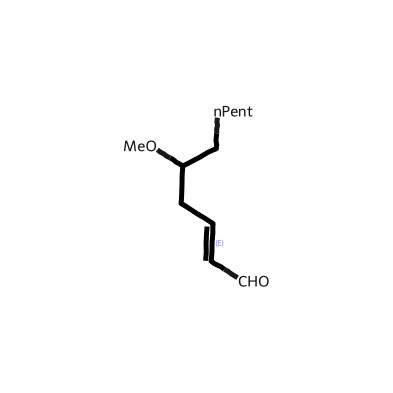 CCCCCCC(C/C=C/C=O)OC